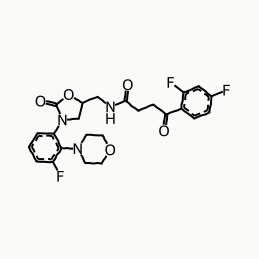 O=C(CCC(=O)c1ccc(F)cc1F)NCC1CN(c2cccc(F)c2N2CCOCC2)C(=O)O1